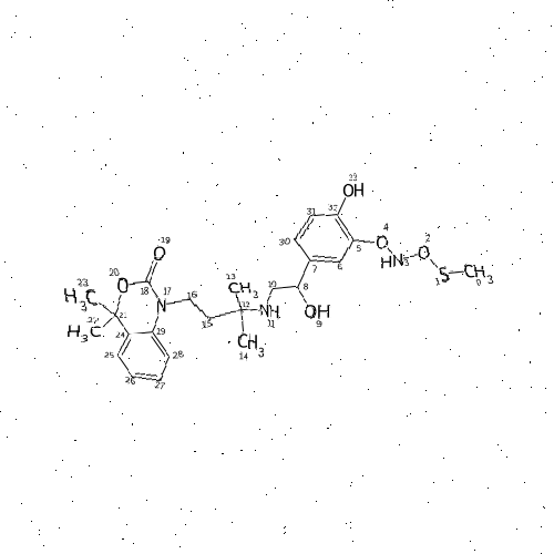 CSONOc1cc(C(O)CNC(C)(C)CCN2C(=O)OC(C)(C)c3ccccc32)ccc1O